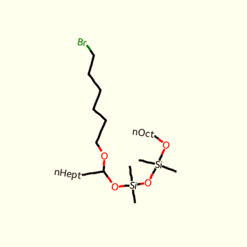 CCCCCCCCO[Si](C)(C)O[Si](C)(C)OC(CCCCCCC)OCCCCCCBr